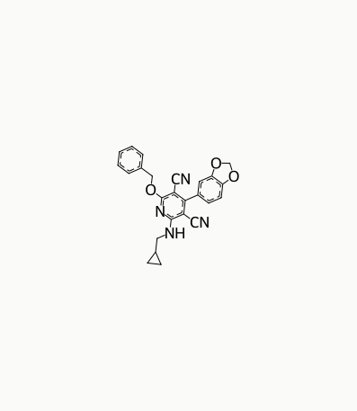 N#Cc1c(NCC2CC2)nc(OCc2ccccc2)c(C#N)c1-c1ccc2c(c1)OCO2